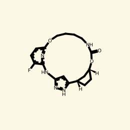 O=C1NCCCCOc2ccc(F)c(n2)Nc2cc([nH]n2)[C@H]2CC[C@H](C2)O1